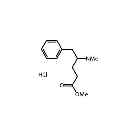 CNC(CCC(=O)OC)Cc1ccccc1.Cl